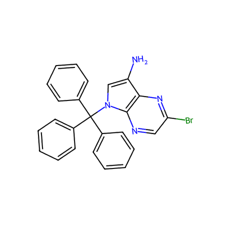 Nc1cn(C(c2ccccc2)(c2ccccc2)c2ccccc2)c2ncc(Br)nc12